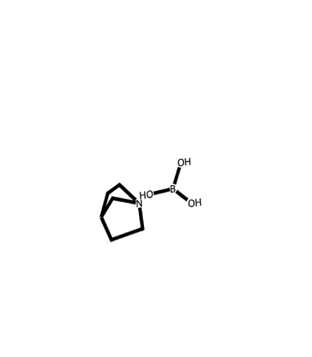 C1CN2CCC1C2.OB(O)O